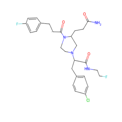 NC(=O)CCC1CN(C(Cc2ccc(Cl)cc2)C(=O)NCCF)CCN1C(=O)[CH]Cc1ccc(F)cc1